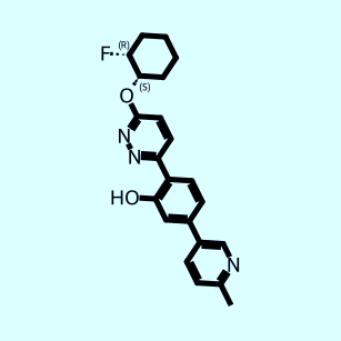 Cc1ccc(-c2ccc(-c3ccc(O[C@H]4CCCC[C@H]4F)nn3)c(O)c2)cn1